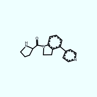 O=C(C1CCCN1)N1CCc2c(-c3ccncc3)cccc21